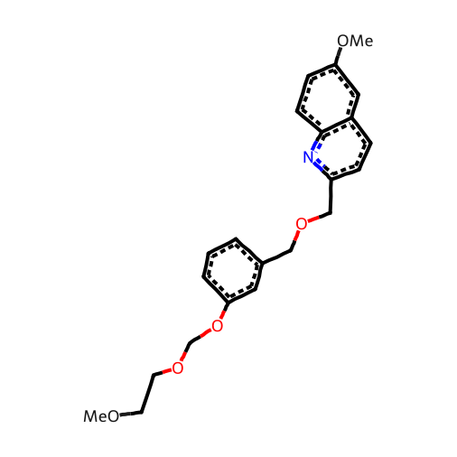 COCCOCOc1cccc(COCc2ccc3cc(OC)ccc3n2)c1